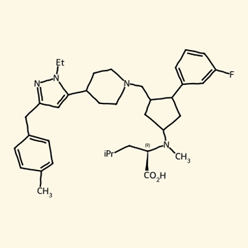 CCn1nc(Cc2ccc(C)cc2)cc1C1CCN(CC2CC(N(C)[C@H](CC(C)C)C(=O)O)CC2c2cccc(F)c2)CC1